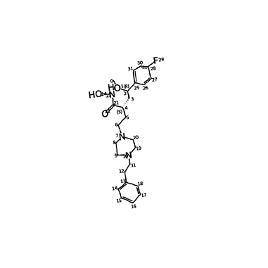 CO[C@H](C[C@H](CCN1CCN(CCc2ccccc2)CC1)C(=O)NO)c1ccc(F)cc1